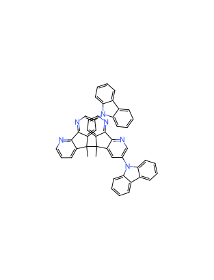 CC1(C2(C)c3cccnc3-c3ncc(-n4c5ccccc5c5ccccc54)cc32)c2cccnc2-c2ncc(-n3c4ccccc4c4ccccc43)cc21